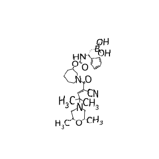 C[C@H]1CN(C(C)(C)C=C(C#N)C(=O)N2CCCC[C@@H](OC(=O)N[C@H](CB(O)O)c3ccccc3)C2)C[C@H](C)O1